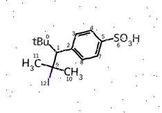 CC(C)(C)C(c1ccc(S(=O)(=O)O)cc1)C(C)(C)I